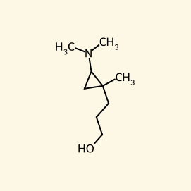 CN(C)C1CC1(C)CCCO